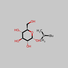 C[Si](C)C(C)(C)C.OC[C@H]1O[C@H](O)[C@H](O)[C@@H](O)[C@@H]1O